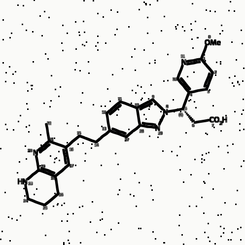 COc1ccc([C@H](CC(=O)O)n2cc3ccc(CCc4cc5c(nc4C)NCCC5)cc3n2)cn1